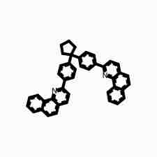 c1ccc2c(c1)ccc1ccc(-c3ccc(C4(c5ccc(-c6ccc7ccc8ccccc8c7n6)cc5)CCCC4)cc3)nc12